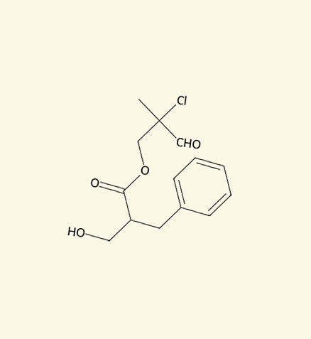 CC(Cl)(C=O)COC(=O)C(CO)Cc1ccccc1